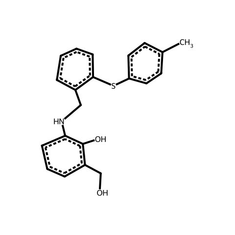 Cc1ccc(Sc2ccccc2CNc2cccc(CO)c2O)cc1